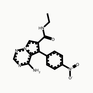 CCNC(=O)c1cn2ncnc(N)c2c1-c1ccc([N+](=O)[O-])cc1